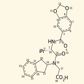 CC(C)[C@H](NC(=O)c1ccc2c(c1)OCO2)C(=O)N(CC(=O)O)C1Cc2ccccc2C1